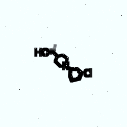 C[C@@H](O)C1CCN(c2cccc(Cl)c2)CC1